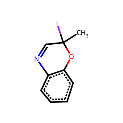 CC1(I)C=Nc2ccccc2O1